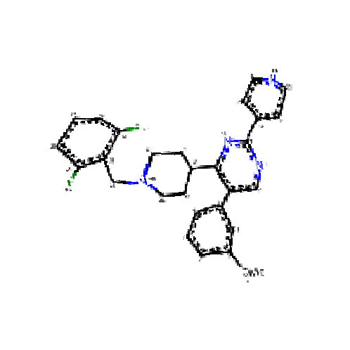 COc1cccc(-c2cnc(-c3ccncc3)nc2C2CCN(Cc3c(F)cccc3F)CC2)c1